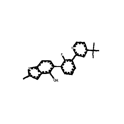 Cc1cc2c(O)c(-c3cccc(-c4cc(C(C)(C)C)ccn4)c3F)ccc2s1